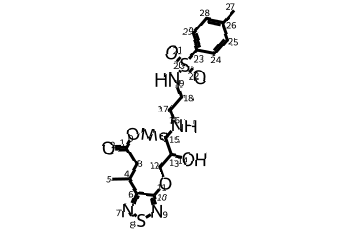 COC(=O)CC(C)c1nsnc1OCC(O)CNCCNS(=O)(=O)c1ccc(C)cc1